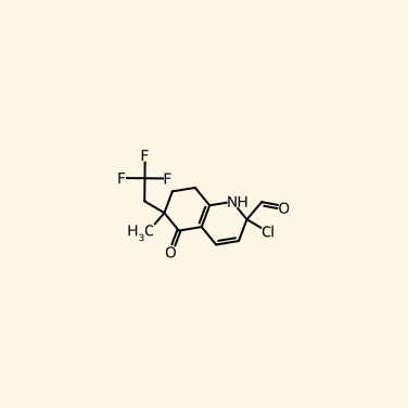 CC1(CC(F)(F)F)CCC2=C(C=CC(Cl)(C=O)N2)C1=O